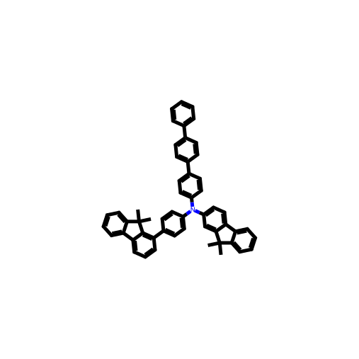 CC1(C)c2ccccc2-c2ccc(N(c3ccc(-c4ccc(-c5ccccc5)cc4)cc3)c3ccc(-c4cccc5c4C(C)(C)c4ccccc4-5)cc3)cc21